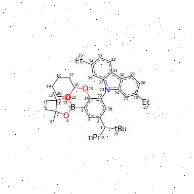 CCCC(c1cc(B2OC(C)(C)C(C)(C)O2)c(OC2CCCCO2)c(-n2c3cc(CC)ccc3c3ccc(CC)cc32)c1)C(C)(C)C